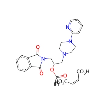 CC(C)C(=O)OC(CN1CCN(c2ccccn2)CC1)CN1C(=O)c2ccccc2C1=O.O=C(O)/C=C\C(=O)O